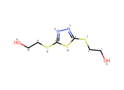 OCCSc1nnc(SCCO)s1